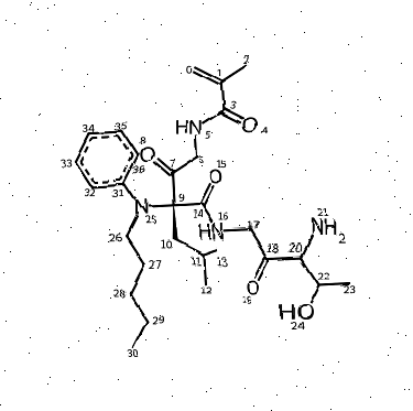 C=C(C)C(=O)NCC(=O)[C@](CC(C)C)(C(=O)NCC(=O)C(N)C(C)O)N(CCCCC)c1ccccc1